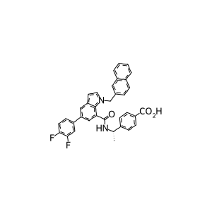 C[C@H](NC(=O)c1cc(-c2ccc(F)c(F)c2)cc2ccn(Cc3ccc4ccccc4c3)c12)c1ccc(C(=O)O)cc1